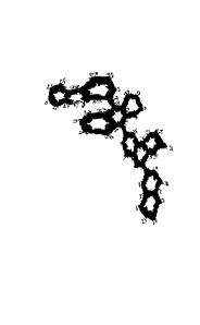 C1=c2c(-c3ccc4cc(-c5ccc6ccccc6c5)c5ccccc5c4c3)c3ccccc3c(-c3cccc4c3oc3ccccc34)c2=CCC1